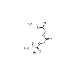 CCC(C)(C(=O)OCC(=O)OCC(=O)OCC(F)(F)F)C(C)C